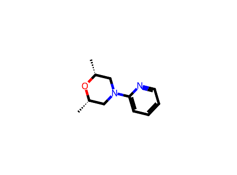 C[C@@H]1CN(c2ccccn2)C[C@H](C)O1